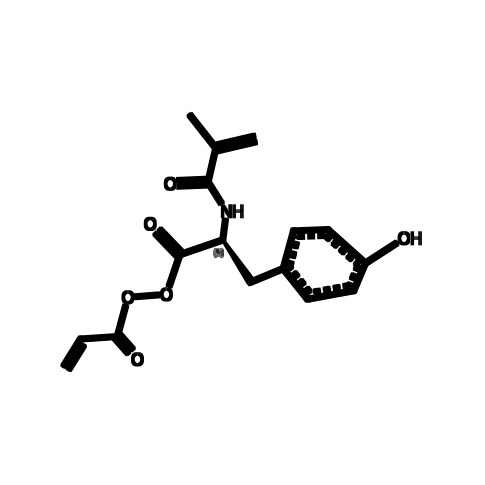 C=CC(=O)OOC(=O)[C@H](Cc1ccc(O)cc1)NC(=O)C(=C)C